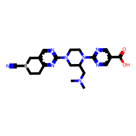 CN(C)CC1CN(c2ncc3c(n2)CCB(C#N)C3)CCN1c1ncc(C(=O)O)cn1